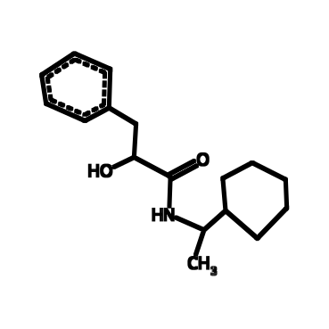 CC(NC(=O)C(O)Cc1ccccc1)C1CCCCC1